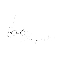 CCCCCN1C=Nc2cccc3nc4c(c1c23)Cn1c-4cc2c(c1=O)COC(=O)[C@@]2(CC)OC(=O)CN(C)C(=O)CNC(=O)OC(C)(C)C